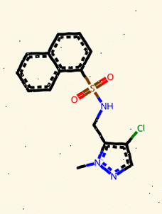 Cn1ncc(Cl)c1CNS(=O)(=O)c1cccc2ccccc12